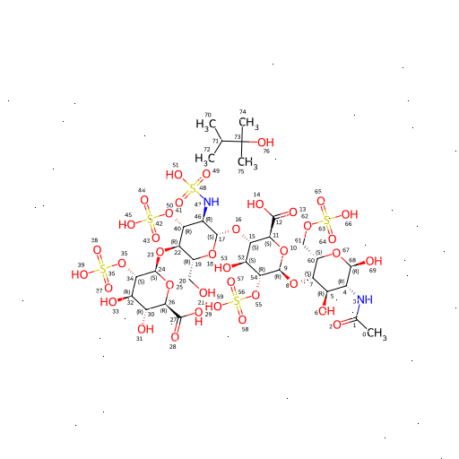 CC(=O)N[C@@H]1[C@@H](O)[C@H](O[C@@H]2O[C@H](C(=O)O)[C@@H](O[C@@H]3O[C@H](CO)[C@@H](O[C@H]4O[C@@H](C(=O)O)[C@H](O)[C@@H](O)[C@@H]4OS(=O)(=O)O)[C@H](OS(=O)(=O)O)[C@H]3NS(=O)(=O)O)[C@H](O)[C@H]2OS(=O)(=O)O)[C@H](COS(=O)(=O)O)O[C@H]1O.CC(C)C(C)(C)O